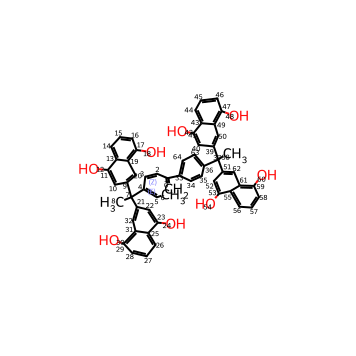 C=C(/C=C\C(=C/C)C(C)(c1cc(O)c2cccc(O)c2c1)c1cc(O)c2cccc(O)c2c1)c1ccc(C(C)(c2cc(O)c3cccc(O)c3c2)c2cc(O)c3cccc(O)c3c2)cc1